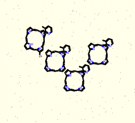 Cc1cccnc1-n1c2ccc1cc1nc(cc3ccc(cc4nc(c2)C=C4)[nH]3)C=C1.Cc1cccnc1-n1c2ccc1cc1nc(cc3ccc(cc4nc(c2)C=C4)[nH]3)C=C1.Cc1cccnc1-n1c2ccc1cc1nc(cc3ccc(cc4nc(c2)C=C4)[nH]3)C=C1.Cc1cccnc1-n1c2ccc1cc1nc(cc3ccc(cc4nc(c2)C=C4)[nH]3)[C]([Zn])=C1